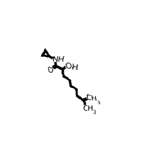 C[C](C)CCCCCC(O)C(=O)NC1CC1